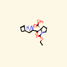 CCOC(=O)N1CCC[C@]1(C(=O)O)C(=O)[C@H](N)CC1CCC1